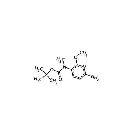 COc1nc(N)ccc1N(C)C(=O)OC(C)(C)C